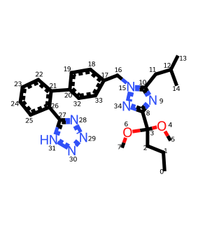 CCCC(OC)(OC)c1nc(CC(C)C)n(Cc2ccc(-c3ccccc3-c3nnn[nH]3)cc2)n1